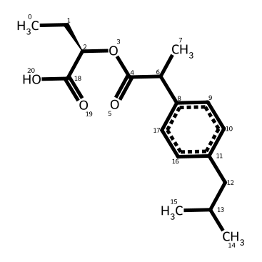 CC[C@@H](OC(=O)C(C)c1ccc(CC(C)C)cc1)C(=O)O